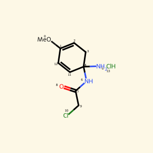 COC1=CCC(N)(NC(=O)CCl)C=C1.Cl